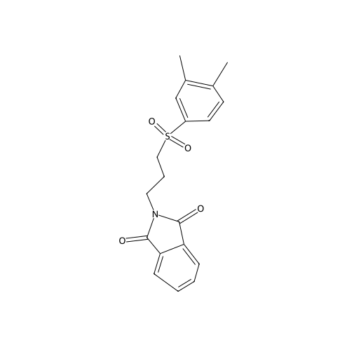 Cc1ccc(S(=O)(=O)CCCN2C(=O)c3ccccc3C2=O)cc1C